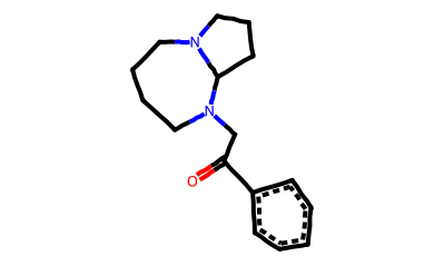 O=C(CN1CCCCN2CCCC21)c1ccccc1